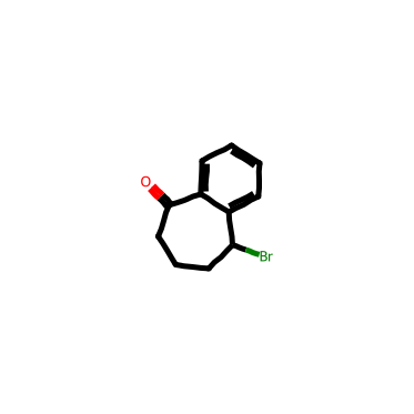 O=C1CCCC(Br)c2ccccc21